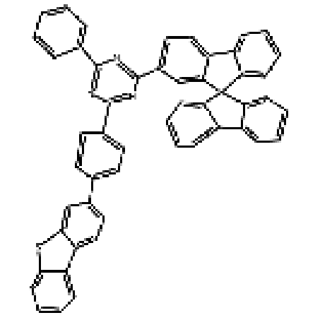 c1ccc(-c2nc(-c3ccc(-c4ccc5c(c4)sc4ccccc45)cc3)nc(-c3ccc4c(c3)C3(c5ccccc5-c5ccccc53)c3ccccc3-4)n2)cc1